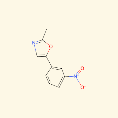 Cc1ncc(-c2cccc([N+](=O)[O-])c2)o1